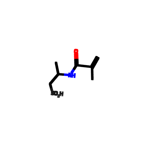 C=C(C)C(=O)NC(C)CS(=O)(=O)O